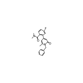 Cc1cc(-c2cc(F)ccc2C(=O)N(C)C)cc(=O)n1Cc1ccccc1